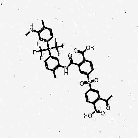 CNc1cc(C(c2ccc(C)c(NC(=O)c3cc(S(=O)(=O)c4ccc(C(=O)O)c(C(C)=O)c4)ccc3C(=O)O)c2)(C(F)(F)F)C(F)(F)F)ccc1C